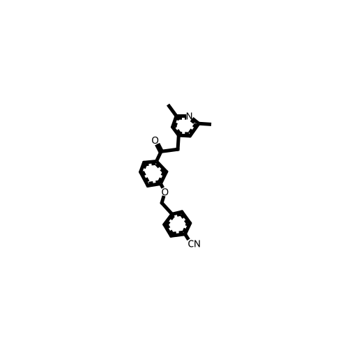 Cc1cc(CC(=O)c2cccc(OCc3ccc(C#N)cc3)c2)cc(C)n1